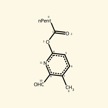 CCCCCC(=O)Oc1ccc(C)c(C=O)n1